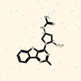 Cc1nc(N2C[C@@H](NC(N)=O)C[C@H]2C(=O)O)c2oc3ccccc3c2n1